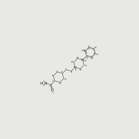 NC(=O)C1CCC(CCN2CCN(c3ccccn3)CC2)CC1